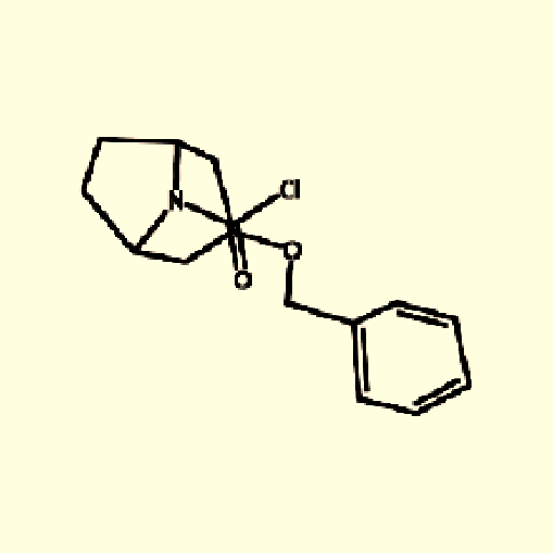 O=C(Cl)N1C2CCC1CC(OCc1ccccc1)C2